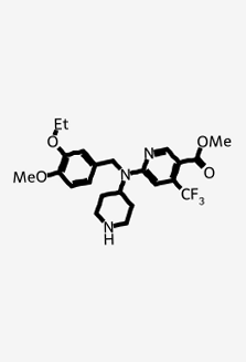 CCOc1cc(CN(c2cc(C(F)(F)F)c(C(=O)OC)cn2)C2CCNCC2)ccc1OC